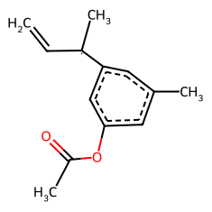 C=C[C](C)c1cc(C)cc(OC(C)=O)c1